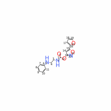 O=C(NCCNc1ccccc1)Oc1cc(-c2ccco2)on1